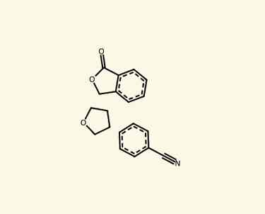 C1CCOC1.N#Cc1ccccc1.O=C1OCc2ccccc21